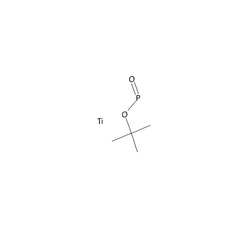 CC(C)(C)OP=O.[Ti]